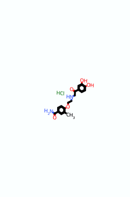 Cc1cc(C(N)=O)ccc1OCCNCC(=O)c1ccc(O)c(O)c1.Cl